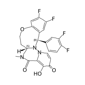 CN1C(=O)c2c(O)c(=O)ccn2N2[C@H](c3ccc(F)c(F)c3)c3cc(F)c(F)cc3OCC[C@@H]12